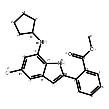 COC(=O)c1ccccc1-c1cc2cc(Cl)cc(NC3CCCC3)c2[nH]1